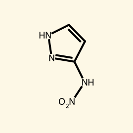 O=[N+]([O-])Nc1cc[nH]n1